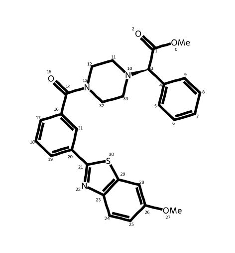 COC(=O)[C@@H](c1ccccc1)N1CCN(C(=O)c2cccc(-c3nc4ccc(OC)cc4s3)c2)CC1